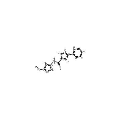 CSc1nnc(NC(=O)c2noc(-c3ccccn3)n2)s1